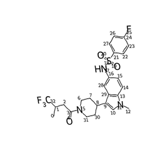 CC(CC(=O)N1CCC(c2cn(C)c3ccc(NS(=O)(=O)c4ccc(F)cc4)cc23)CC1)C(F)(F)F